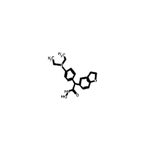 CCN(CC)c1ccc(C(C(=O)NO)c2ccc3c(c2)CCO3)cc1